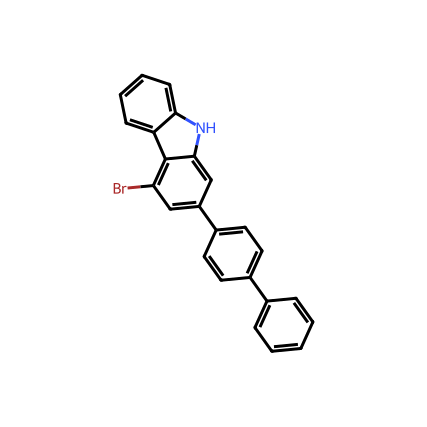 Brc1cc(-c2ccc(-c3ccccc3)cc2)cc2[nH]c3ccccc3c12